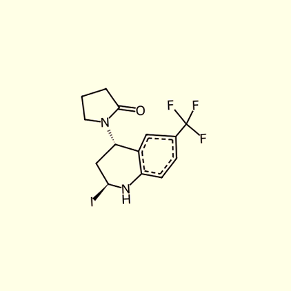 O=C1CCCN1[C@H]1C[C@H](I)Nc2ccc(C(F)(F)F)cc21